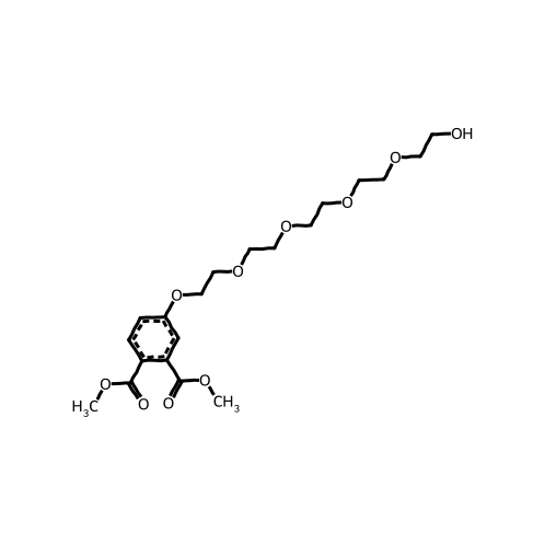 COC(=O)c1ccc(OCCOCCOCCOCCOCCO)cc1C(=O)OC